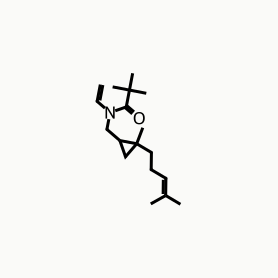 C=CN(CC1CC1(C)CCC=C(C)C)C(=O)C(C)(C)C